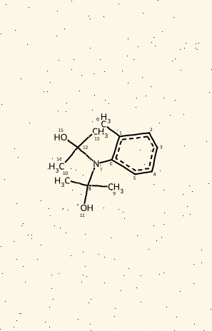 Cc1ccccc1N(C(C)(C)O)C(C)(C)O